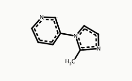 Cc1nccn1-c1[c]nccc1